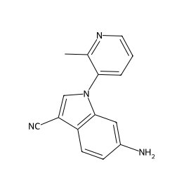 Cc1ncccc1-n1cc(C#N)c2ccc(N)cc21